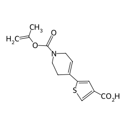 C=C(C)OC(=O)N1CC=C(c2cc(C(=O)O)cs2)CC1